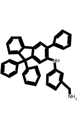 NCc1cccc(Nc2cc3c(cc2-c2ccccc2)-c2ccccc2C3(c2ccccc2)c2ccccc2)c1